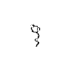 CCOCC1CC[N]CO1